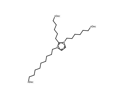 CCCCCCCCCCCCCCCCCCC[n+]1ccn(CCCCCCCCCCCCCCCC)c1CCCCCCCCCCCCCCC